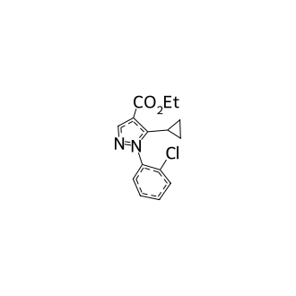 CCOC(=O)c1cnn(-c2ccccc2Cl)c1C1CC1